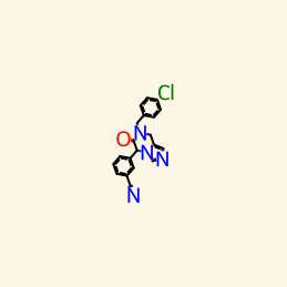 N#Cc1cccc(C2C(=O)N(Cc3ccc(Cl)cc3)Cc3cncn32)c1